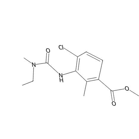 CCN(C)C(=O)Nc1c(Cl)ccc(C(=O)OC)c1C